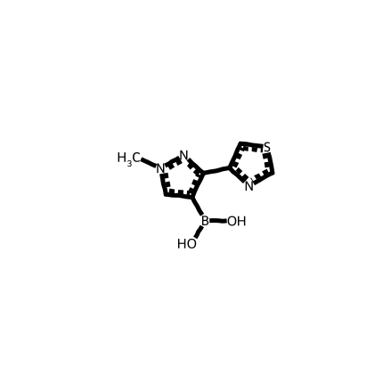 Cn1cc(B(O)O)c(-c2cscn2)n1